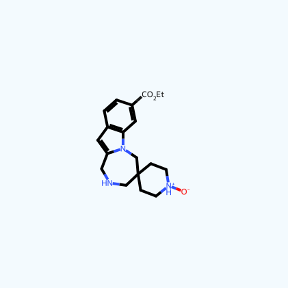 CCOC(=O)c1ccc2cc3n(c2c1)CC1(CC[NH+]([O-])CC1)CNC3